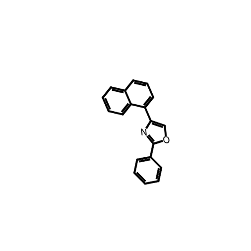 c1ccc(-c2nc(-c3cccc4ccccc34)co2)cc1